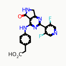 O=C(O)Cc1ccc(Nc2nc(-c3c(F)cncc3F)nc3c2C(=O)NC3)cc1